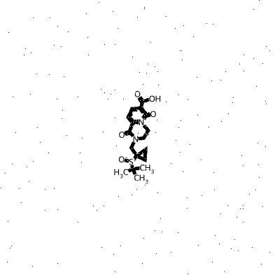 CC(C)(C)[S+]([O-])C1(CN2CCn3c(ccc(C(=O)O)c3=O)C2=O)CC1